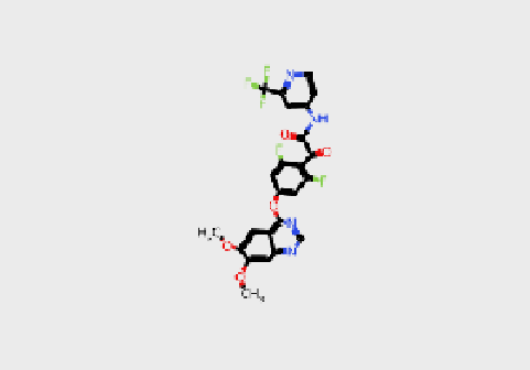 COc1cc2ncnc(Oc3cc(F)c(C(=O)C(=O)Nc4ccnc(C(F)(F)F)c4)c(F)c3)c2cc1OC